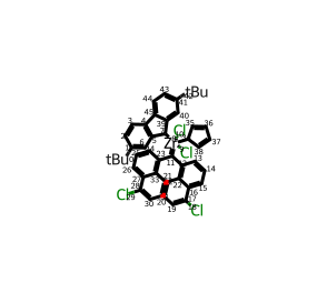 CC(C)(C)c1ccc2c(c1)[CH]([Zr]([Cl])([Cl])(=[C](c1cccc3c(Cl)cccc13)c1cccc3c(Cl)cccc13)[CH]1C=CC=C1)c1cc(C(C)(C)C)ccc1-2